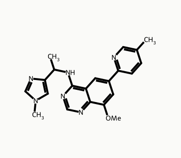 COc1cc(-c2ccc(C)cn2)cc2c(NC(C)c3cn(C)cn3)ncnc12